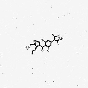 C=C/C=c1/c(C(=O)c2c(Cl)cc(-c3c(C)n[nH]c3C)cc2Cl)c[nH]/c1=C/N